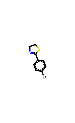 CCc1ccc(C2=N[CH]CS2)cc1